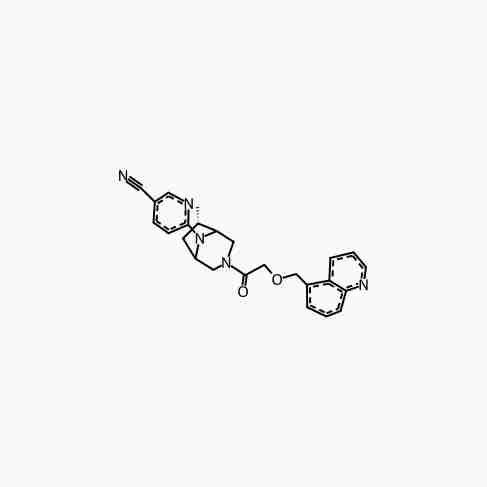 C[C@H]1CC2CN(C(=O)COCc3cccc4ncccc34)CC1N2c1ccc(C#N)cn1